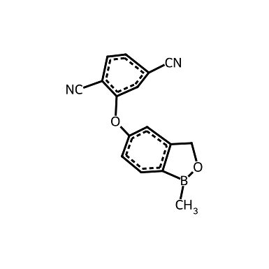 CB1OCc2cc(Oc3cc(C#N)ccc3C#N)ccc21